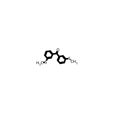 CSc1cccc(C(=O)c2cccc(SC)c2)c1